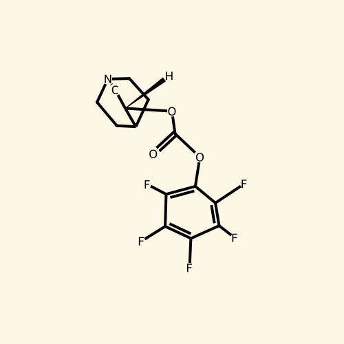 O=C(Oc1c(F)c(F)c(F)c(F)c1F)O[C@H]1CN2CCC1CC2